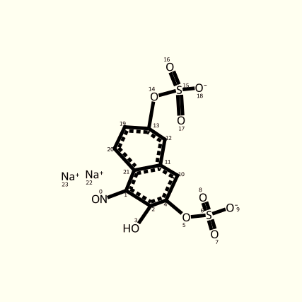 O=Nc1c(O)c(OS(=O)(=O)[O-])cc2cc(OS(=O)(=O)[O-])ccc12.[Na+].[Na+]